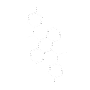 OB(c1ccc(C(F)(F)F)cc1)c1c2ccccc2c(B(O)c2ccc(C(F)(F)F)cc2)c2ccccc12